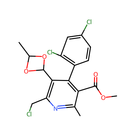 COC(=O)c1c(C)nc(CCl)c(C2OC(C)O2)c1-c1ccc(Cl)cc1Cl